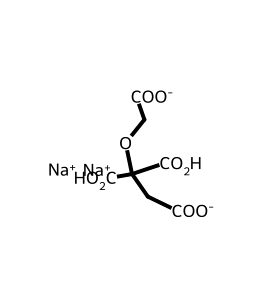 O=C([O-])COC(CC(=O)[O-])(C(=O)O)C(=O)O.[Na+].[Na+]